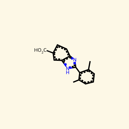 Cc1cccc(C)c1-c1nc2ccc(C(=O)O)cc2[nH]1